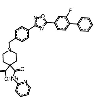 O=C(O)C1(C(=O)Nc2ccccn2)CCN(Cc2ccc(-c3noc(-c4ccc(-c5ccccc5)c(F)c4)n3)cc2)CC1